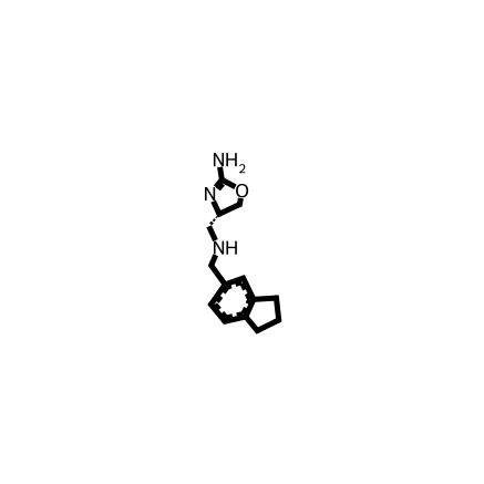 NC1=N[C@@H](CNCc2ccc3c(c2)CCC3)CO1